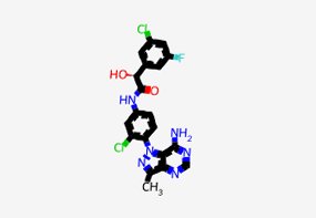 Cc1nn(-c2ccc(NC(=O)[C@H](O)c3cc(F)cc(Cl)c3)cc2Cl)c2c(N)ncnc12